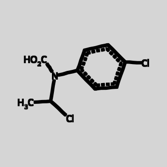 CC(Cl)N(C(=O)O)c1ccc(Cl)cc1